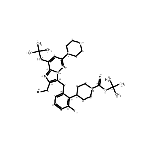 CC(C)(C)Nc1cc(N2CCOCC2)nn2c(Cc3cccc(F)c3C3CCN(C(=O)OC(C)(C)C)CC3)c(CO)nc12